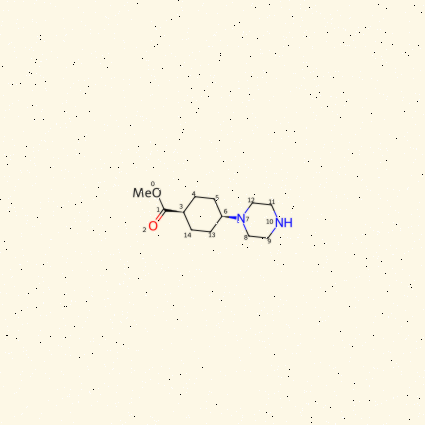 COC(=O)[C@H]1CC[C@@H](N2CCNCC2)CC1